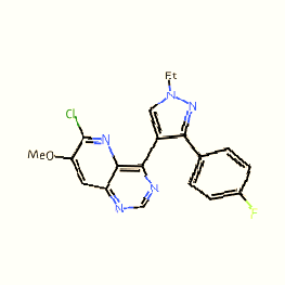 CCn1cc(-c2ncnc3cc(OC)c(Cl)nc23)c(-c2ccc(F)cc2)n1